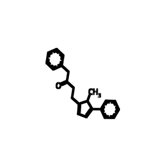 CC1C(CCC(=O)Cc2ccccc2)=CC=C1c1ccccc1